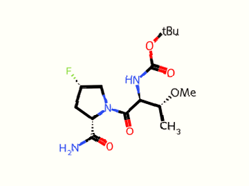 CO[C@H](C)[C@H](NC(=O)OC(C)(C)C)C(=O)N1C[C@@H](F)C[C@H]1C(N)=O